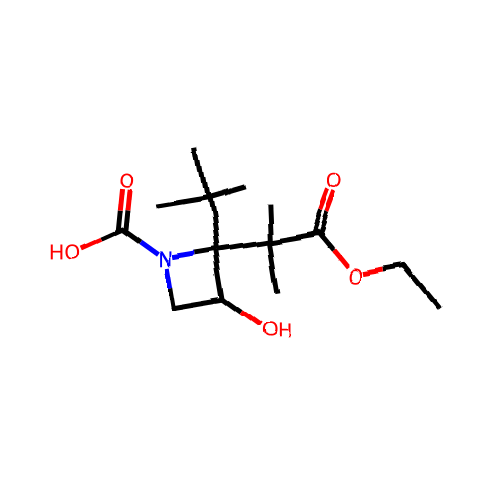 CCOC(=O)C(C)(C)C1(C(C)(C)C)C(O)CN1C(=O)O